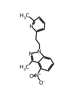 Cc1cccc(CCn2nc(C)c3c([N+](=O)[O-])cccc32)n1